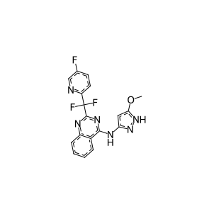 COc1cc(Nc2nc(C(F)(F)c3ccc(F)cn3)nc3ccccc23)n[nH]1